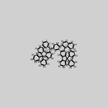 c1ccc(N(c2ccc(-c3ccc4ccccc4c3-c3ccc4c(c3)C3(c5ccccc5-c5ccccc53)c3ccccc3-4)cc2)c2cccc3c2-c2ccccc2C3(c2ccccc2)c2ccccc2)cc1